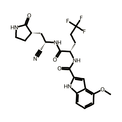 COc1cccc2[nH]c(C(=O)N[C@@H](CCC(F)(F)F)C(=O)N[C@H](C#N)C[C@@H]3CCNC3=O)cc12